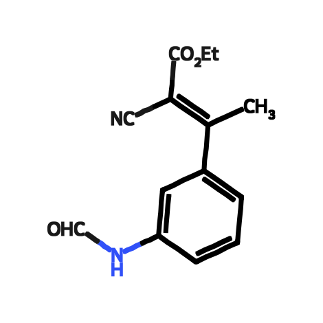 CCOC(=O)C(C#N)=C(C)c1cccc(NC=O)c1